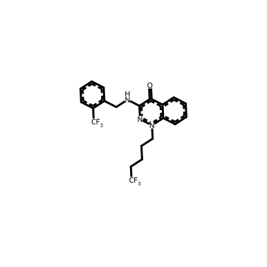 O=c1c(NCc2ccccc2C(F)(F)F)nn(CCCCC(F)(F)F)c2ccccc12